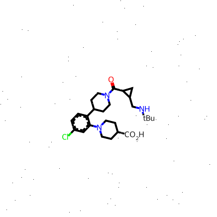 CC(C)(C)NCC1CC1C(=O)N1CCC(c2ccc(Cl)cc2N2CCC(C(=O)O)CC2)CC1